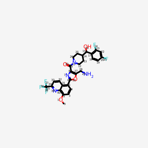 COc1ccc(-c2nc(C(=O)N3CCC(C(O)c4ccc(F)cc4F)CC3)c(CN)o2)c2ccc(C(F)(F)F)nc12